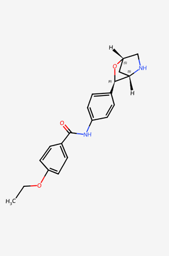 CCOc1ccc(C(=O)Nc2ccc([C@H]3O[C@@H]4CN[C@H]3C4)cc2)cc1